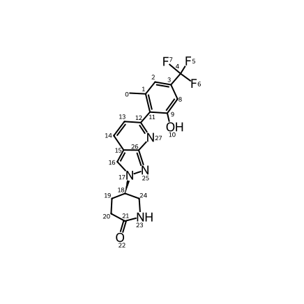 Cc1cc(C(F)(F)F)cc(O)c1-c1ccc2cn([C@@H]3CCC(=O)NC3)nc2n1